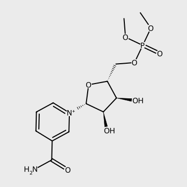 COP(=O)(OC)OC[C@H]1O[C@@H]([n+]2cccc(C(N)=O)c2)[C@H](O)[C@@H]1O